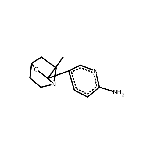 CC1(c2ccc(N)nc2)CC2CCN1CC2